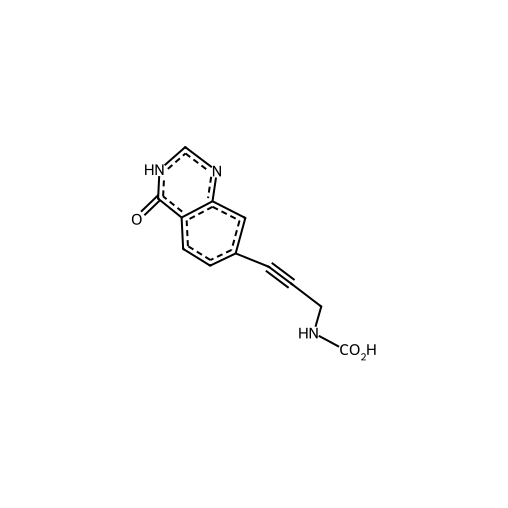 O=C(O)NCC#Cc1ccc2c(=O)[nH]cnc2c1